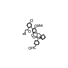 COc1cn(C(Cc2ccccc2)C(=O)Nc2ccc(C=O)cc2)c(=O)cc1-c1cc(Cl)ccc1C(=O)CC1CC1